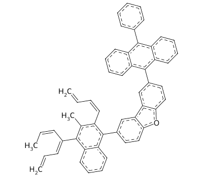 C=C/C=C\c1c(C)c(C(/C=C\C)=C/C=C)c2ccccc2c1-c1ccc2oc3ccc(-c4c5ccccc5c(-c5ccccc5)c5ccccc45)cc3c2c1